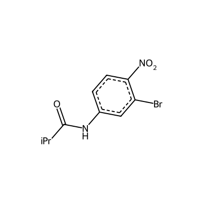 CC(C)C(=O)Nc1ccc([N+](=O)[O-])c(Br)c1